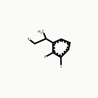 C[C](CF)c1cccc(I)c1F